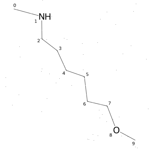 CNCCCCCCOC